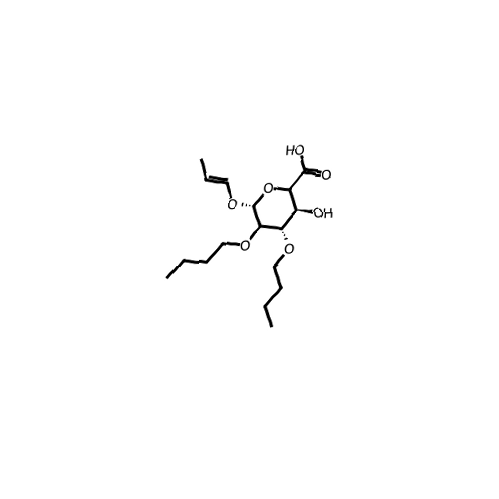 C/C=C/O[C@@H]1OC(C(=O)O)[C@@H](O)[C@H](OCCCC)C1OCCCC